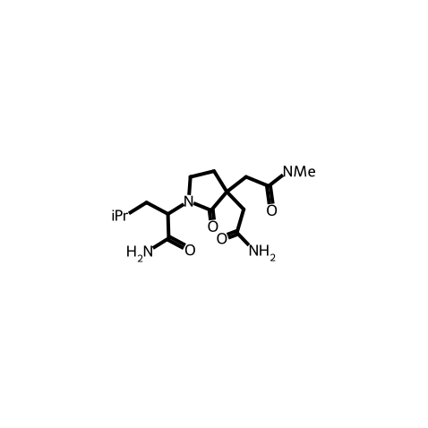 CNC(=O)CC1(CC(N)=O)CCN(C(CC(C)C)C(N)=O)C1=O